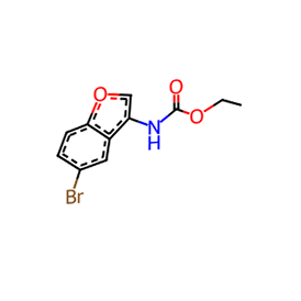 CCOC(=O)Nc1coc2ccc(Br)cc12